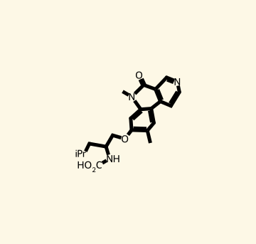 Cc1cc2c3ccncc3c(=O)n(C)c2cc1OCC(CC(C)C)NC(=O)O